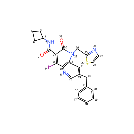 O=C(NC1CCC1)c1c(I)c2ncc(Cc3ccccc3)cc2n(Cc2nccs2)c1=O